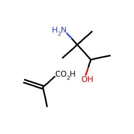 C=C(C)C(=O)O.CC(O)C(C)(C)N